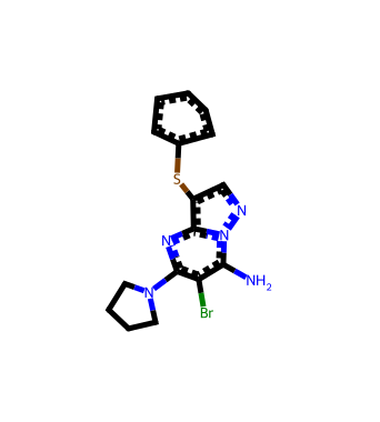 Nc1c(Br)c(N2CCCC2)nc2c(Sc3ccccc3)cnn12